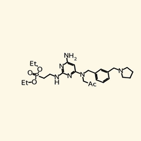 CCOP(=O)(CCNc1nc(N)cc(N(CC(C)=O)Cc2cccc(CN3CCCC3)c2)n1)OCC